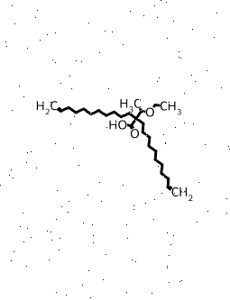 C=CCCCCCCCCCC(CCCCCCCCCC=C)(C(=O)O)C(C)OCC